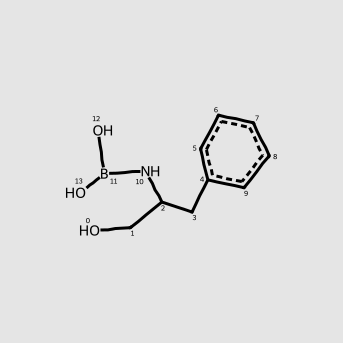 OCC(Cc1ccccc1)NB(O)O